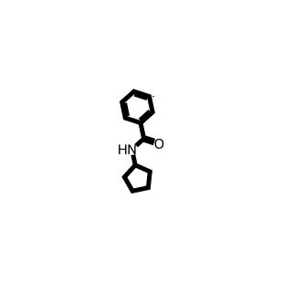 O=C(NC1CCCC1)c1c[c]ccc1